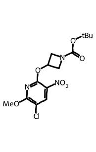 COc1nc(OC2CN(C(=O)OC(C)(C)C)C2)c([N+](=O)[O-])cc1Cl